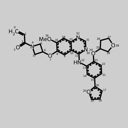 C=CC(=O)N1CC(Oc2cc3c(Nc4cc(-c5ccco5)ccc4OC4CCOC4)ncnc3cc2OC)C1